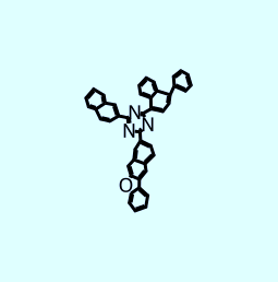 c1ccc(-c2ccc(-c3nc(-c4ccc5ccccc5c4)nc(-c4ccc5cc6c(cc5c4)oc4ccccc46)n3)c3ccccc23)cc1